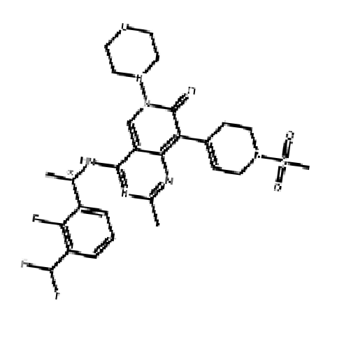 Cc1nc(N[C@H](C)c2cccc(C(F)F)c2F)c2cn(N3CCOCC3)c(=O)c(C3=CCN(S(C)(=O)=O)CC3)c2n1